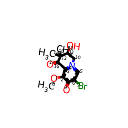 COc1c2n(cc(Br)c1=O)CC(O)C(C)(C)C2=O